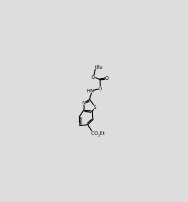 CCOC(=O)c1ccc2nc(NOC(=O)OC(C)(C)C)sc2c1